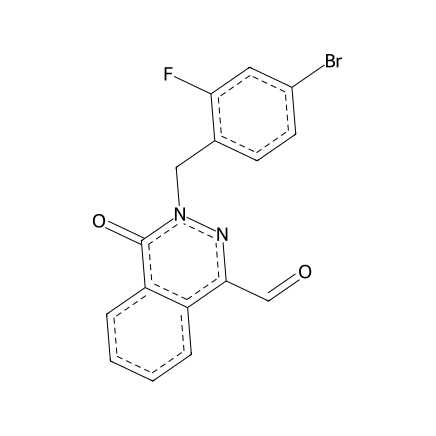 O=Cc1nn(Cc2ccc(Br)cc2F)c(=O)c2ccccc12